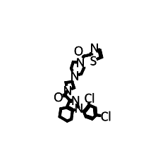 O=C(c1nccs1)N1CCN(C2CN(C(=O)c3nn(-c4ccc(Cl)cc4Cl)c4c3CCCC4)C2)CC1